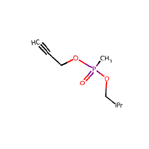 C#CCOP(C)(=O)OCC(C)C